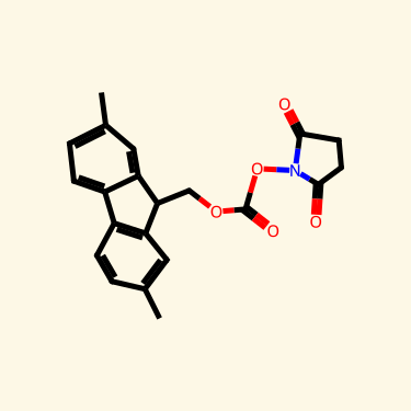 Cc1ccc2c(c1)C(COC(=O)ON1C(=O)CCC1=O)c1cc(C)ccc1-2